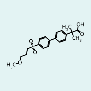 COCCCS(=O)(=O)c1ccc(-c2ccc(C(C)(C)C(=O)O)cc2)cc1